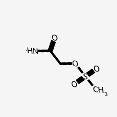 CS(=O)(=O)OCC([NH])=O